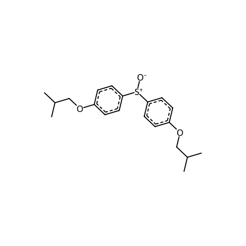 CC(C)COc1ccc([S+]([O-])c2ccc(OCC(C)C)cc2)cc1